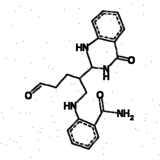 NC(=O)c1ccccc1NCC(CCC=O)C1NC(=O)c2ccccc2N1